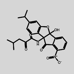 CC(C)CC(=O)C(=O)NC12C(=O)c3c([N+](=O)[O-])cccc3C1(O)Oc1cc(C(C)C)ccc12